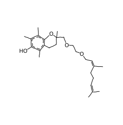 CC(C)=CCCC(C)=CCOCCOCC1(C)CCc2c(C)c(O)c(C)c(C)c2O1